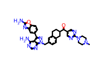 CN1CCN(c2ncc(C(=O)C3CCc4cc(Cn5nc(-c6ccc7oc(N)nc7c6)c6c(N)ncnc65)ccc4C3)cn2)CC1